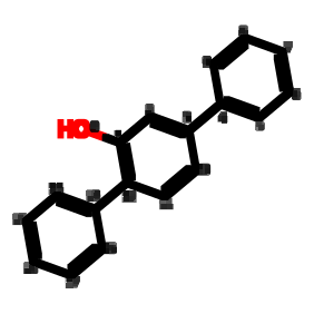 Oc1cc(-c2ccccc2)ccc1-c1ccccc1